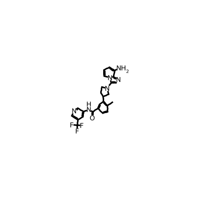 Cc1ccc(C(=O)Nc2cncc(C(F)(F)F)c2)cc1C1CCN(c2cnc3c(N)cccn23)C1